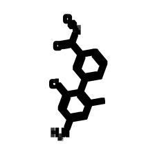 Cc1cc(N)cc(Cl)c1-c1cccc(C(=O)N=O)c1